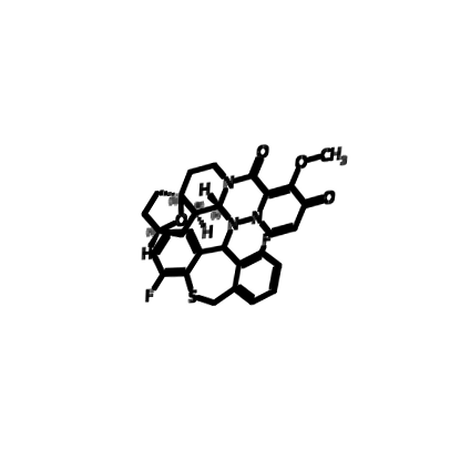 COc1c2n(ccc1=O)N(C1c3cccc(F)c3SCc3cccc(F)c31)[C@@H]1[C@H]3C[C@@H]4CC[C@@]3(CCN1C2=O)O4